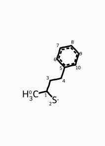 CC([S])CCc1ccccc1